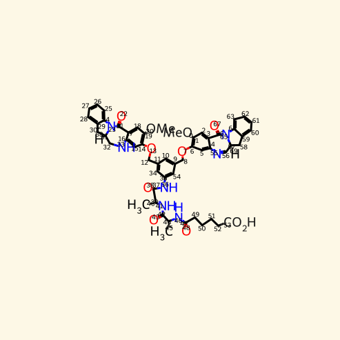 COc1cc2c(cc1OCc1cc(COc3cc4c(cc3OC)C(=O)N3c5ccccc5C[C@H]3CN4)cc(NC(=O)[C@H](C)NC(=O)[C@H](C)NC(=O)CCCCC(=O)O)c1)N=C[C@@H]1Cc3ccccc3N1C2=O